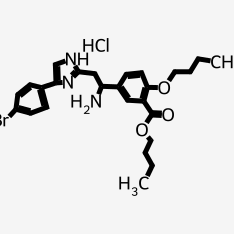 CCCCOC(=O)c1cc(C(N)Cc2nc(-c3ccc(Br)cc3)c[nH]2)ccc1OCCCC.Cl